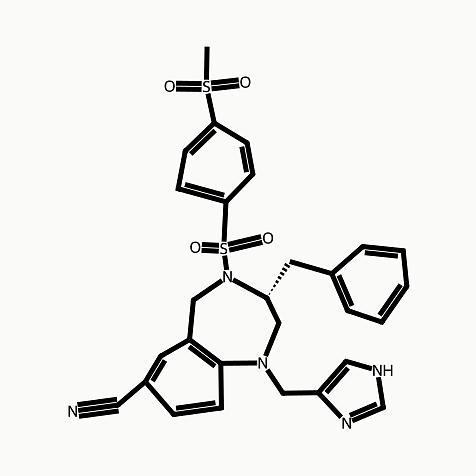 CS(=O)(=O)c1ccc(S(=O)(=O)N2Cc3cc(C#N)ccc3N(Cc3c[nH]cn3)C[C@H]2Cc2ccccc2)cc1